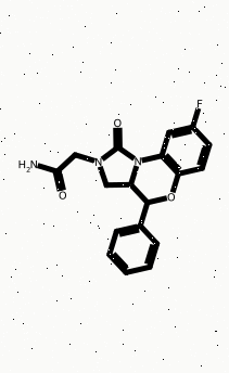 NC(=O)CN1CC2C(c3ccccc3)Oc3ccc(F)cc3N2C1=O